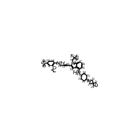 CCOc1cc(S(C)(=O)=O)ccc1NCC#Cc1cc2c(N[C@H]3CC[C@@H](N4CC5(COC5)C4)CC3)cccc2n1CC(F)(F)F